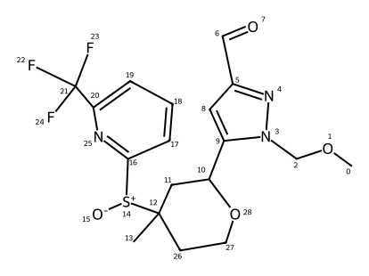 COCn1nc(C=O)cc1C1CC(C)([S+]([O-])c2cccc(C(F)(F)F)n2)CCO1